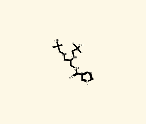 CC(C)(S)CNCC(CNC(=O)c1cccnc1)NCC(C)(C)S